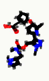 Cc1nc(-c2nnn(C)c2COC(=O)N(C)Cc2ccnn2C)ccc1O[C@H]1CCC[C@H](C(=O)O)C1